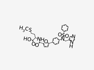 CSCCC(NC(=O)c1ccc(-c2ccc(N(Cc3cnc[nH]3)S(=O)(=O)c3ccccc3)cc2)o1)C(=O)O